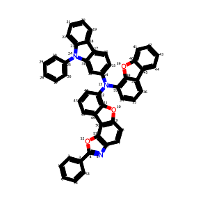 c1ccc(-c2nc3ccc4oc5c(N(c6ccc7c8ccccc8n(-c8ccccc8)c7c6)c6cccc7c6oc6ccccc67)cccc5c4c3o2)cc1